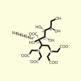 O=C([O-])CN(CC(=O)[O-])CC(N(CC(=O)[O-])CC(=O)[O-])[C@](O)(C(=O)[O-])[C@@H](O)[C@H](O)[C@H](O)CO.[Na+].[Na+].[Na+].[Na+].[Na+]